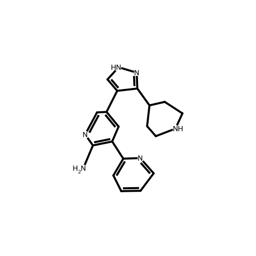 Nc1ncc(-c2c[nH]nc2C2CCNCC2)cc1-c1ccccn1